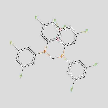 Fc1cc(F)cc(P(CP(c2cc(F)cc(F)c2)c2cc(F)cc(F)c2)c2cc(F)cc(F)c2)c1